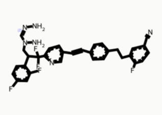 N#Cc1ccc(F)c(CCc2ccc(C#Cc3ccc(C(F)(F)C(CN(N)/C=N\N)c4ccc(F)cc4F)nc3)cc2)c1